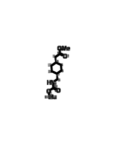 COC(=O)C[C@H]1CC[C@@H](CNC(=O)OC(C)(C)C)CC1